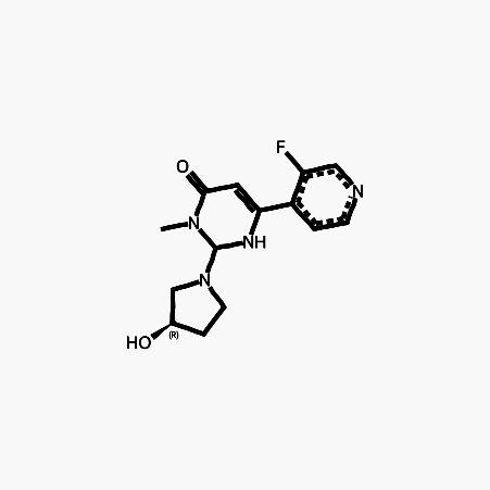 CN1C(=O)C=C(c2ccncc2F)NC1N1CC[C@@H](O)C1